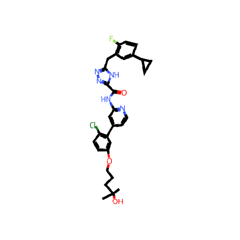 CC(C)(O)CCCOc1ccc(Cl)c(-c2ccnc(NC(=O)c3nnc(Cc4cc(C5CC5)ccc4F)[nH]3)c2)c1